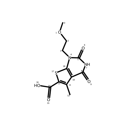 COCCn1c(=O)[nH]c(=O)c2c(C)c(C(=O)O)sc21